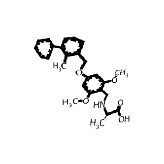 COc1cc(OCc2cccc(-c3ccccc3)c2C)cc(OC)c1CN[C@@H](C)C(=O)O